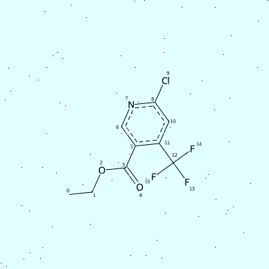 CCOC(=O)c1cnc(Cl)cc1C(F)(F)F